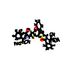 N#CC(C#N)=C1/C(=C/c2cc3c(s2)-c2sc(/C=C4\C(=O)c5ccccc5C4=C(C#N)C#N)cc2C2(CCCCC2)O3)C(=O)c2ccccc21